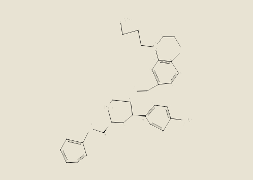 COCCCN1CCOc2ccc(CO[C@H]3CN[C@H](COc4ccccc4)C[C@@H]3c3ccc(OC)cc3)cc21